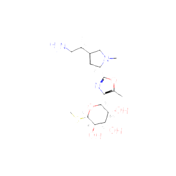 CS[C@H]1O[C@H](c2nc([C@@H]3CC([C@@H](C)CN)CN3C)oc2C)[C@H](O)[C@H](O)[C@H]1O